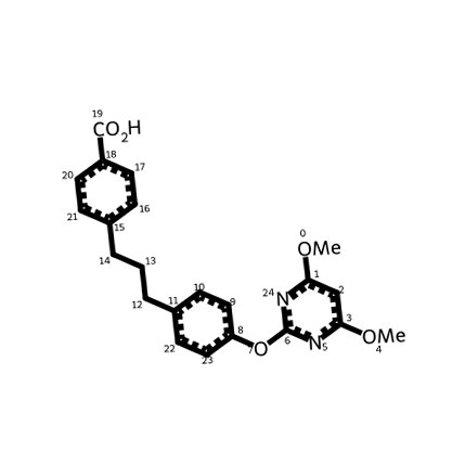 COc1cc(OC)nc(Oc2ccc(CCCc3ccc(C(=O)O)cc3)cc2)n1